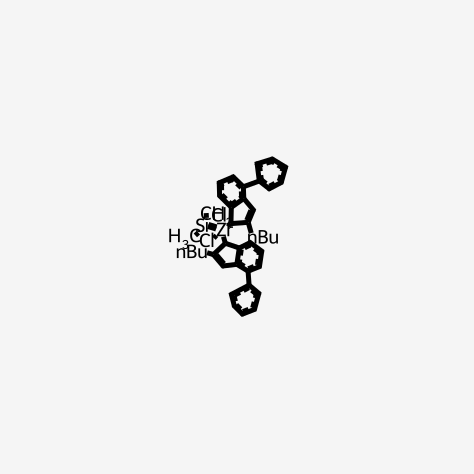 CCCCC1=Cc2c(-c3ccccc3)cccc2[CH]1[Zr]([Cl])([Cl])([CH]1C(CCCC)=Cc2c(-c3ccccc3)cccc21)=[Si](C)C